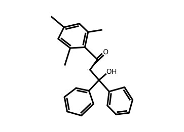 Cc1cc(C)c(C(=O)[CH]C(O)(c2ccccc2)c2ccccc2)c(C)c1